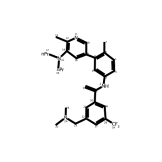 C=C(Nc1ccc(C)c(-c2cnc(C)c(N(CCC)CCC)c2)c1)c1cc(CN(C)C)cc(C(F)(F)F)c1